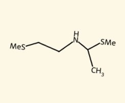 CSCCNC(C)SC